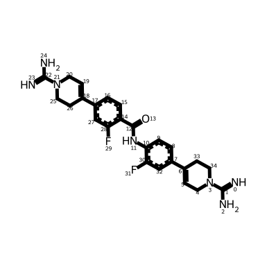 N=C(N)N1CC=C(c2ccc(NC(=O)c3ccc(C4=CCN(C(=N)N)CC4)cc3F)c(F)c2)CC1